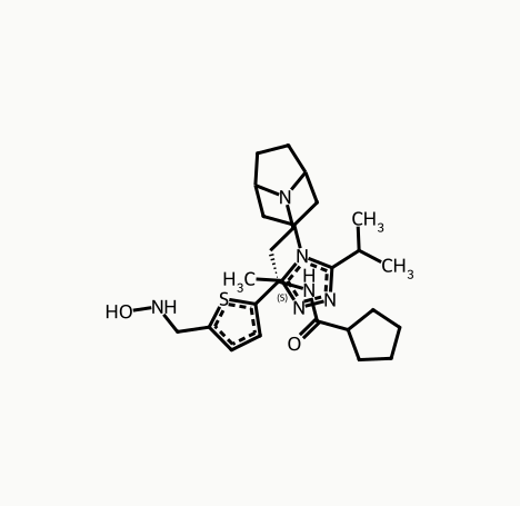 Cc1nnc(C(C)C)n1C1CC2CCC(C1)N2CC[C@H](NC(=O)C1CCCC1)c1ccc(CNO)s1